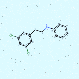 Clc1cc(Cl)cc(CCNc2cc[c]cc2)c1